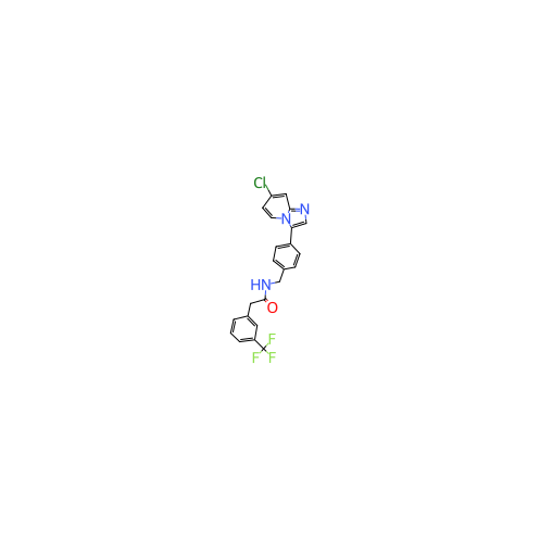 O=C(Cc1cccc(C(F)(F)F)c1)NCc1ccc(-c2cnc3cc(Cl)ccn23)cc1